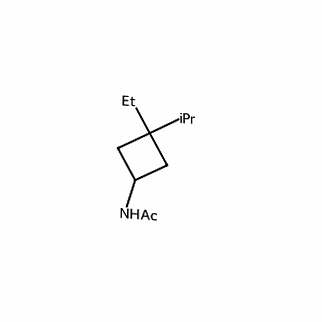 CCC1(C(C)C)CC(NC(C)=O)C1